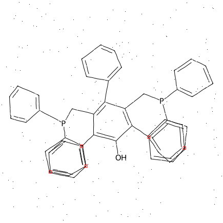 Oc1c(-c2ccccc2)c(CP(c2ccccc2)c2ccccc2)c(-c2ccccc2)c(CP(c2ccccc2)c2ccccc2)c1-c1ccccc1